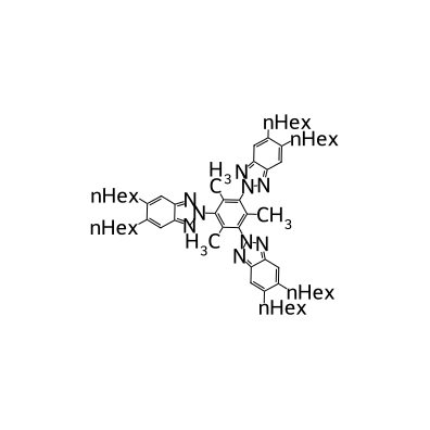 CCCCCCc1cc2nn(-c3c(C)c(-n4nc5cc(CCCCCC)c(CCCCCC)cc5n4)c(C)c(-n4nc5cc(CCCCCC)c(CCCCCC)cc5n4)c3C)nc2cc1CCCCCC